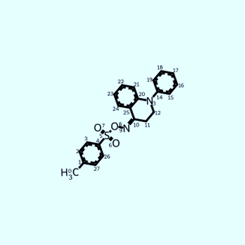 Cc1ccc(S(=O)(=O)O/N=C2/CCN(c3ccccc3)c3ccccc32)cc1